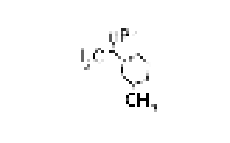 [CH2]CCC(C)[C]1CCCC(C)C1